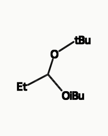 CCC(OCC(C)C)OC(C)(C)C